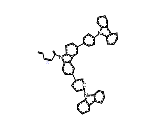 C=C/C=C\C(=C)n1c2ccc(-c3ccc(-n4c5ccccc5c5ccccc54)cc3)cc2c2cc(-c3ccc(-n4c5ccccc5c5ccccc54)cc3)ccc21